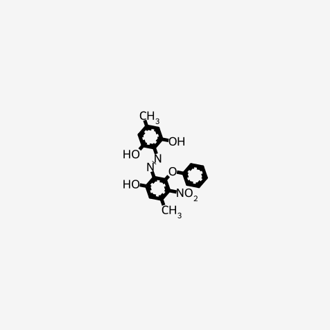 Cc1cc(O)c(N=Nc2c(O)cc(C)c([N+](=O)[O-])c2Oc2ccccc2)c(O)c1